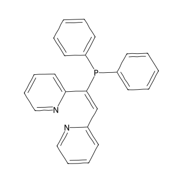 C(=C(c1ccccn1)P(c1ccccc1)c1ccccc1)c1ccccn1